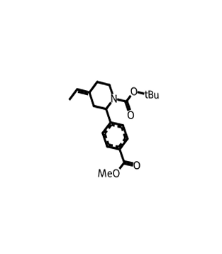 C/C=C1/CCN(C(=O)OC(C)(C)C)C(c2ccc(C(=O)OC)cc2)C1